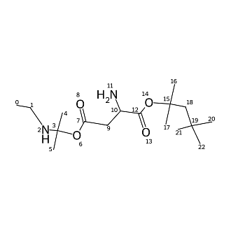 CCNC(C)(C)OC(=O)CC(N)C(=O)OC(C)(C)CC(C)(C)C